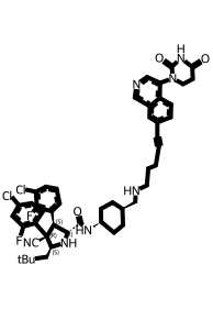 CC(C)(C)C[C@@H]1N[C@@H](C(=O)N[C@H]2CC[C@H](CNCCCC#Cc3ccc4c(N5CCC(=O)NC5=O)cncc4c3)CC2)[C@H](c2cccc(Cl)c2F)[C@@]1(C#N)c1ccc(Cl)cc1F